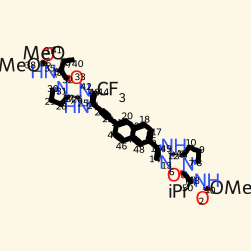 COC(=O)N[C@H](C(=O)N1CCC[C@H]1c1ncc(-c2ccc3cc(C#Cc4[nH]c([C@@H]5CCCN5C(=O)[C@@H](NC(=O)OC)[C@@H](C)OC)nc4C(F)(F)F)ccc3c2)[nH]1)C(C)C